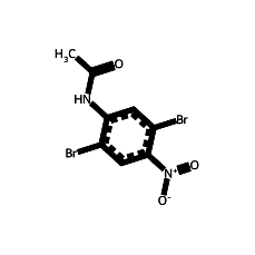 CC(=O)Nc1cc(Br)c([N+](=O)[O-])cc1Br